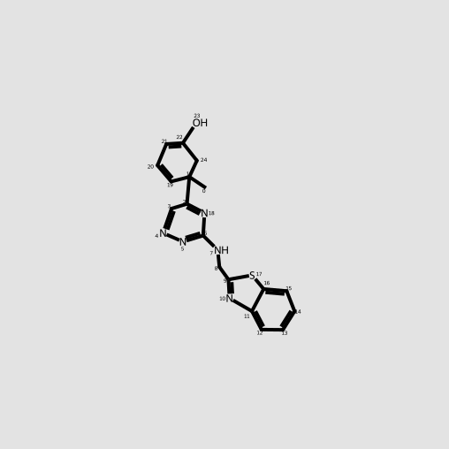 CC1(c2cnnc(NCc3nc4ccccc4s3)n2)C=CC=C(O)C1